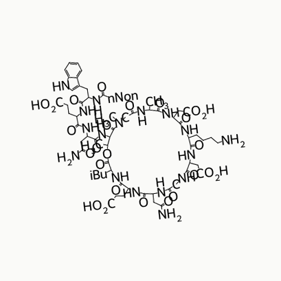 CCCCCCCCCC(=O)NC(Cc1c[nH]c2ccccc12)C(=O)NC(CCC(=O)O)C(=O)NC(CC(N)=O)C(=O)NC1C(=O)N(C)CC(=O)NC(C)C(=O)NC(CC(=O)O)C(=O)NC(CCCCN)C(=O)NC(CC(=O)O)C(=O)NCC(=O)NC(CC(N)=O)C(=O)NC(CCC(=O)O)C(=O)NC(C(C)CC)C(=O)OC1C